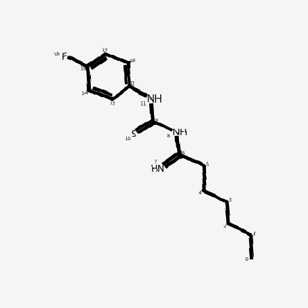 CCCCCCC(=N)NC(=S)Nc1ccc(F)cc1